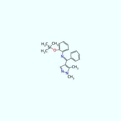 Cc1c(C(=Nc2ccccc2O[Si](C)(C)C)c2ccccc2)cnn1C